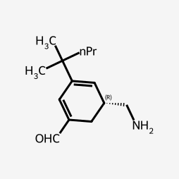 CCCC(C)(C)C1=C[C@H](CN)CC(C=O)=C1